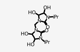 CC(C)N1C(=O)N(CN2C(=O)N(C(C)C)C(O)C2O)C(O)C1O